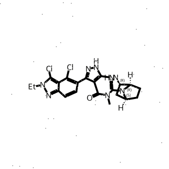 CCn1nc2ccc(-c3n[nH]c4nc(N5[C@H]6CC[C@@H]5[C@H](N)C6)n(C)c(=O)c34)c(Cl)c2c1Cl